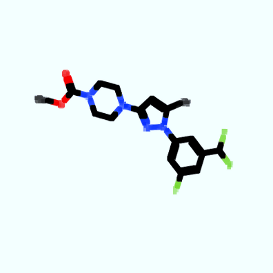 CC(C)c1cc(N2CCN(C(=O)OC(C)(C)C)CC2)nn1-c1cc(F)cc(C(F)F)c1